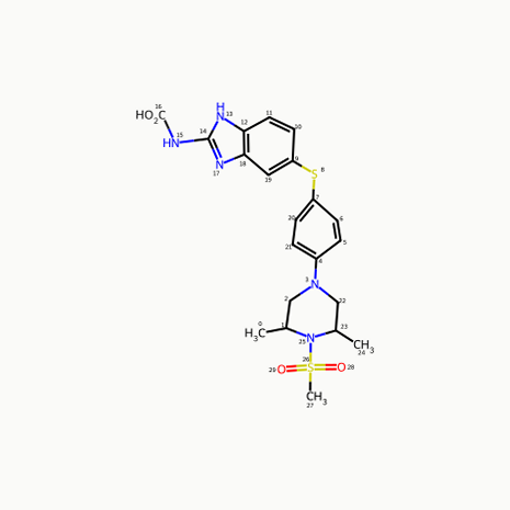 CC1CN(c2ccc(Sc3ccc4[nH]c(NC(=O)O)nc4c3)cc2)CC(C)N1S(C)(=O)=O